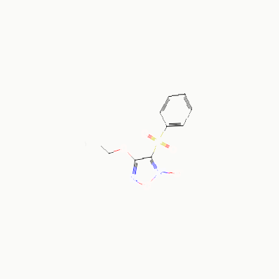 [CH2]COc1no[n+]([O-])c1S(=O)(=O)c1ccccc1